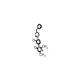 Cc1cc(=O)n(-c2ccc(N3CCC(Cc4ccccc4)CC3)c(Cl)c2)c(C)n1